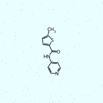 Cc1ccc(C(=O)Nc2ccncc2)s1